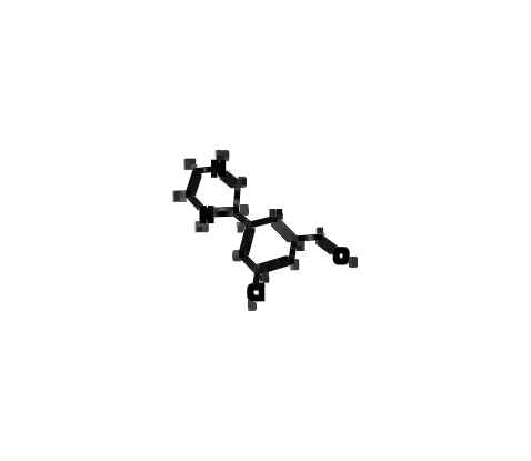 O=Cc1cc(Cl)cc(-c2cnccn2)c1